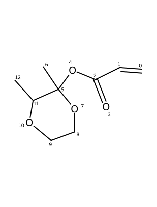 C=CC(=O)OC1(C)OCCOC1C